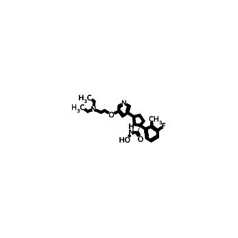 CCN(CC)CCOc1cncc(C2CC[C@@](C(=O)NO)(c3cccc(F)c3C)C2)c1